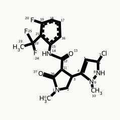 CN1CC(C2=CC(Cl)NN2C)C(C(=O)Nc2cccc(F)c2C(C)(F)F)C1=O